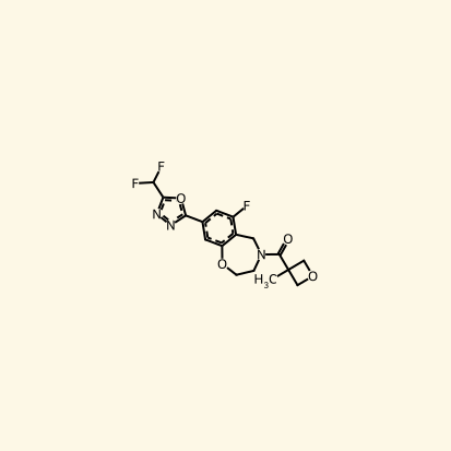 CC1(C(=O)N2CCOc3cc(-c4nnc(C(F)F)o4)cc(F)c3C2)COC1